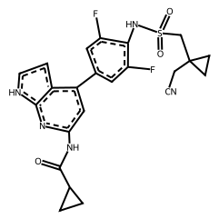 N#CCC1(CS(=O)(=O)Nc2c(F)cc(-c3cc(NC(=O)C4CC4)nc4[nH]ccc34)cc2F)CC1